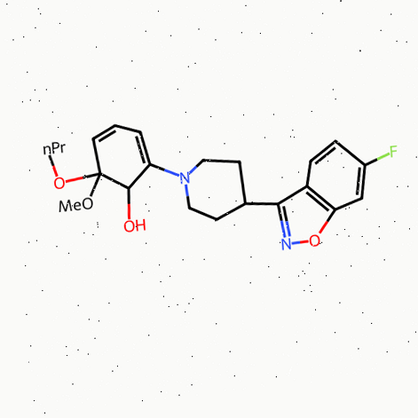 CCCOC1(OC)C=CC=C(N2CCC(c3noc4cc(F)ccc34)CC2)C1O